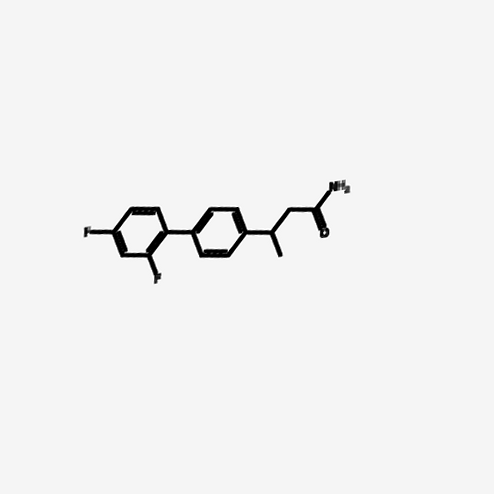 CC(CC(N)=O)c1ccc(-c2ccc(F)cc2F)cc1